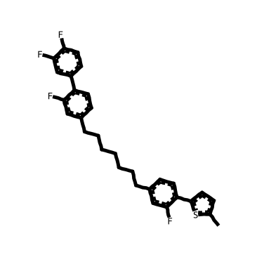 Cc1ccc(-c2ccc(CCCCCCCc3ccc(-c4ccc(F)c(F)c4)c(F)c3)cc2F)s1